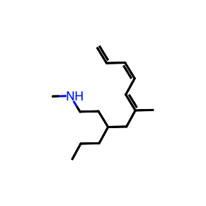 C=C/C=C\C=C(/C)CC(CCC)CCNC